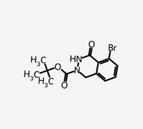 CC(C)(C)OC(=O)N1Cc2cccc(Br)c2C(=O)N1